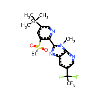 CCS(=O)(=O)c1c[c]([Sn]([CH3])([CH3])[CH3])cnc1-c1nc2cc(C(F)(F)C(F)(F)F)cnc2n1C